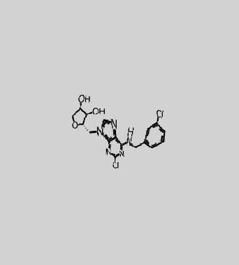 O[C@@H]1[C@H](O)CO[C@H]1Cn1cnc2c(NCc3cccc(Cl)c3)nc(Cl)nc21